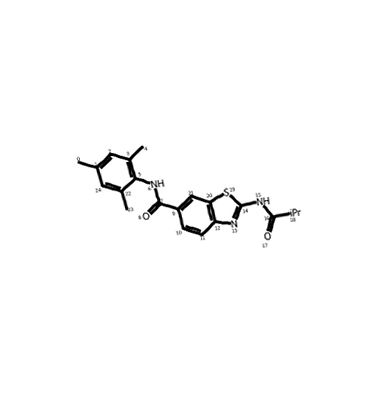 Cc1cc(C)c(NC(=O)c2ccc3nc(NC(=O)C(C)C)sc3c2)c(C)c1